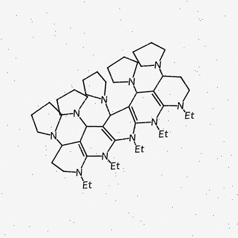 CCN1CCC(N2CCCC2)C2=C1N(CC)C1=C(C2N2CCCC2)C(N2CCCC2)C2=C(N(CC)C3=C(C(N4CCCC4)CCN3CC)C2N2CCCC2)N1CC